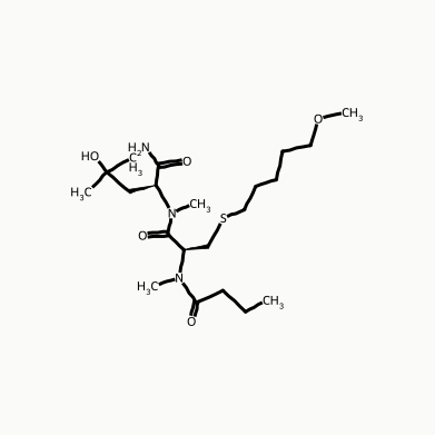 CCCC(=O)N(C)[C@H](CSCCCCCOC)C(=O)N(C)[C@@H](CC(C)(C)O)C(N)=O